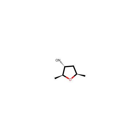 C[C@@H]1C[C@@H](N=O)[C@H](C)O1